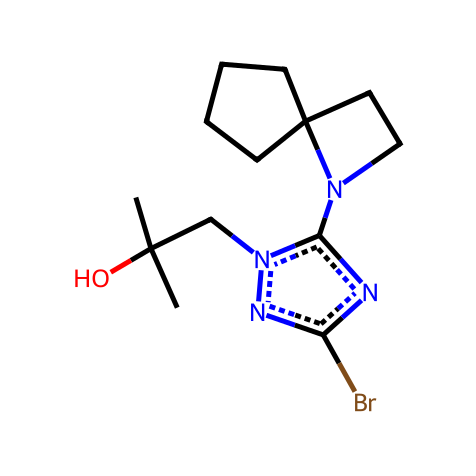 CC(C)(O)Cn1nc(Br)nc1N1CCC12CCCC2